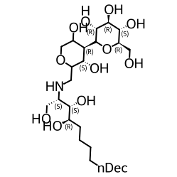 CCCCCCCCCCCCCC[C@@H](O)[C@@H](O)[C@H](CO)NCC1OCC(O)[C@@H](C2O[C@H](CO)[C@@H](O)[C@H](O)[C@H]2O)[C@@H]1O